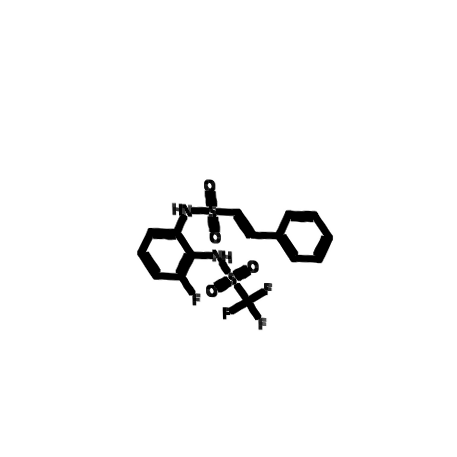 O=S(=O)(C=Cc1ccccc1)Nc1cccc(F)c1NS(=O)(=O)C(F)(F)F